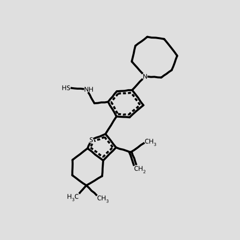 C=C(C)c1c(-c2ccc(N3CCCCCCC3)cc2CNS)sc2c1CC(C)(C)CC2